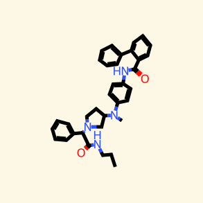 CCCNC(=O)C(c1ccccc1)N1CCC(N(C)c2ccc(NC(=O)c3ccccc3-c3ccccc3)cc2)C1